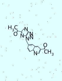 CC(=O)c1cnc2ccc(Cn3nnc4ncc(C(C)=O)nc43)cc2c1